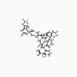 Cc1ccc2oc3c(-c4ccc(Nc5ccc(-c6ccc7ccccc7c6)cc5-c5ccc6c(c5-c5ccccc5)CCC=C6)cc4)cc(C)cc3c2c1